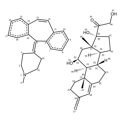 CN1CCC(=C2c3ccccc3C=Cc3ccccc32)CC1.C[C@]12CCC(=O)C=C1CC[C@@H]1[C@@H]2[C@@H](O)C[C@@]2(C)[C@H]1CC[C@]2(O)C(=O)CO